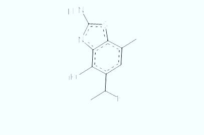 Cc1cc(C(C)F)c(C(C)C)c2nc(N)sc12